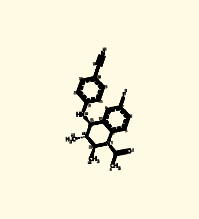 CC(=O)N1c2ccc(F)cc2[C@H](Nc2ccc(C#N)cc2)[C@@H](C)[C@@H]1C